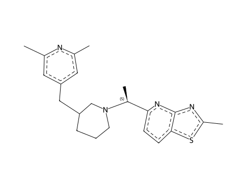 Cc1cc(CC2CCCN([C@@H](C)c3ccc4sc(C)nc4n3)C2)cc(C)n1